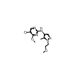 COCCn1ncc(Nc2ncc(Cl)c(OC)n2)c1C